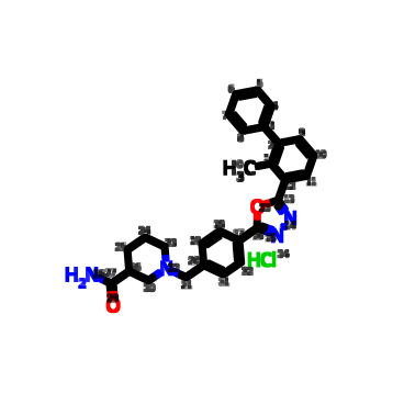 Cc1c(-c2ccccc2)cccc1-c1nnc(-c2ccc(CN3CCCC(C(N)=O)C3)cc2)o1.Cl